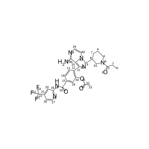 CCC(=O)N1CCCC(c2nc(-c3ccc(C(=O)Nc4cc(C(F)(F)F)ccn4)cc3OC(C)=O)c3c(N)nccn23)C1